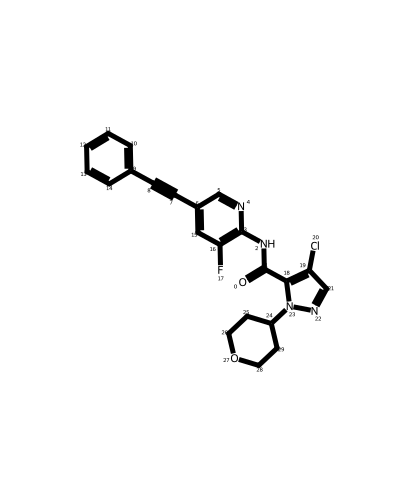 O=C(Nc1ncc(C#Cc2ccccc2)cc1F)c1c(Cl)cnn1C1CCOCC1